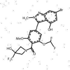 COc1cc(-c2c3c(O)cc(Br)cc3nn2C)cc(OC(F)F)c1C(=O)N1CC(O)(C(F)(F)F)C1